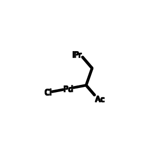 CC(=O)[CH](CC(C)C)[Pd][Cl]